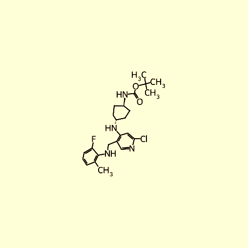 Cc1cccc(F)c1NCc1cnc(Cl)cc1N[C@H]1CC[C@H](NC(=O)OC(C)(C)C)CC1